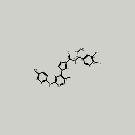 Cc1cnc(Nc2ccc(F)cc2)nc1-n1ccc(C(=O)N[C@H](CO)c2ccc(F)c(Cl)c2)c1